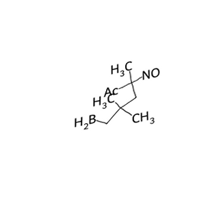 BCC(C)(C)CC(C)(N=O)C(C)=O